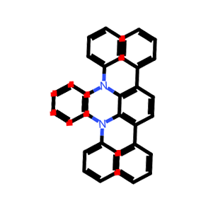 c1ccc(-c2ccc(-c3ccccc3)c(N(c3ccccc3)c3ccccc3)c2N(c2ccccc2)c2ccccc2)cc1